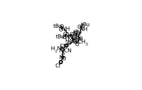 C[C@H](NC(=O)[C@H](CCCCNC(=O)OC(C)(C)C)NC(=O)OC(C)(C)C)C(=O)OC[C@H](COc1ccc(-c2c(C#N)c(N)nc(SCc3coc(-c4ccc(Cl)cc4)n3)c2C#N)cc1)OC(=O)[C@H](C)NC(=O)[C@H](CCCCNC(=O)OC(C)(C)C)NC(=O)OC(C)(C)C